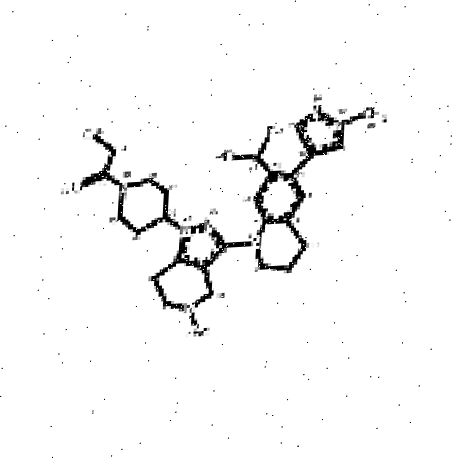 CC(=O)N1CCc2c(c(N3CCCc4cc(-c5cnn(C)c5)c(C(F)F)cc43)nn2C2CCN(C(=O)CCl)CC2)C1